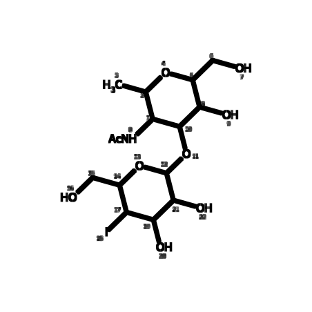 CC(=O)NC1C(C)OC(CO)C(O)C1OC1OC(CO)C(I)C(O)C1O